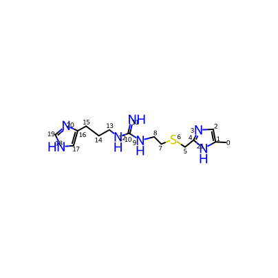 Cc1cnc(CSCCNC(=N)NCCCc2c[nH]cn2)[nH]1